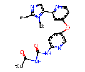 CCn1c(-c2cc(Oc3ccc(NC(=O)NC(=O)C(C)(C)C)nc3)ccn2)cnc1C(C)C